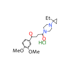 CCC1(N2CCN(C(=O)CCC(=O)c3ccc(OC)c(OC)c3)CC2)CC1.Cl